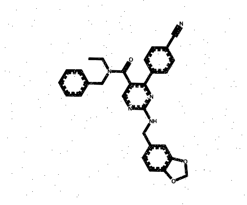 CCN(Cc1ccccc1)C(=O)c1cnc(NCc2ccc3c(c2)OCO3)nc1-c1ccc(C#N)cc1